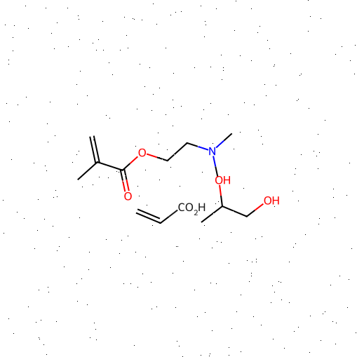 C=C(C)C(=O)OCCN(C)C.C=CC(=O)O.CC(O)CO